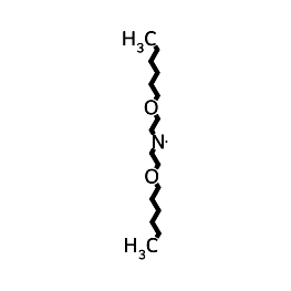 CCCCCCOCC[N]CCOCCCCCC